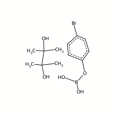 CC(C)(O)C(C)(C)O.OB(O)Oc1ccc(Br)cc1